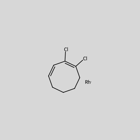 ClC1=C(\Cl)CCCC/C=C\1.[Rh]